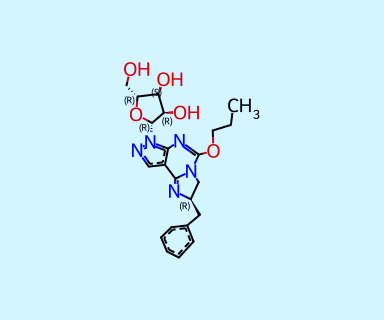 CCCOC1=Nc2c(cnn2[C@@H]2O[C@H](CO)[C@@H](O)[C@H]2O)C2=N[C@H](Cc3ccccc3)CN12